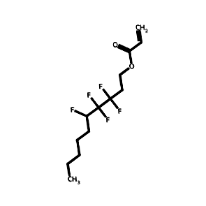 C=CC(=O)OCCC(F)(F)C(F)(F)C(F)CCCCC